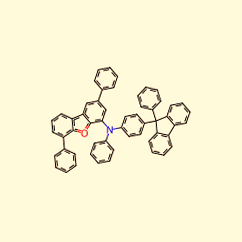 c1ccc(-c2cc(N(c3ccccc3)c3ccc(C4(c5ccccc5)c5ccccc5-c5ccccc54)cc3)c3oc4c(-c5ccccc5)cccc4c3c2)cc1